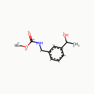 CC(O)c1cccc(CNC(=O)OC(C)(C)C)c1